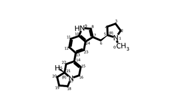 CN1CCC[C@@H]1Cc1c[nH]c2ccc(C3=CCN4CCC[C@@H]4C3)cc12